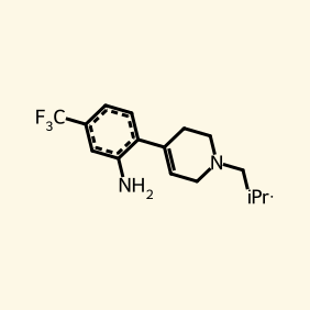 C[C](C)CN1CC=C(c2ccc(C(F)(F)F)cc2N)CC1